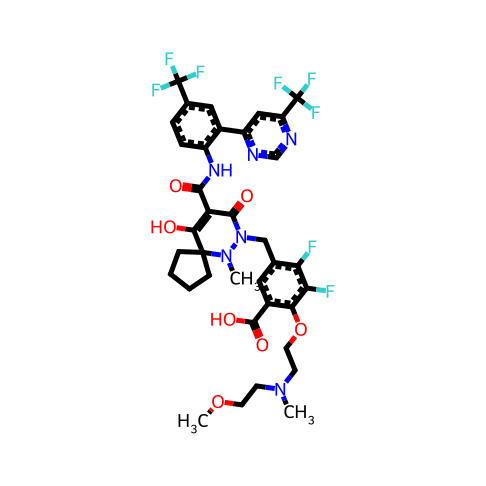 COCCN(C)CCOc1c(C(=O)O)cc(CN2C(=O)C(C(=O)Nc3ccc(C(F)(F)F)cc3-c3cc(C(F)(F)F)ncn3)=C(O)C3(CCCC3)N2C)c(F)c1F